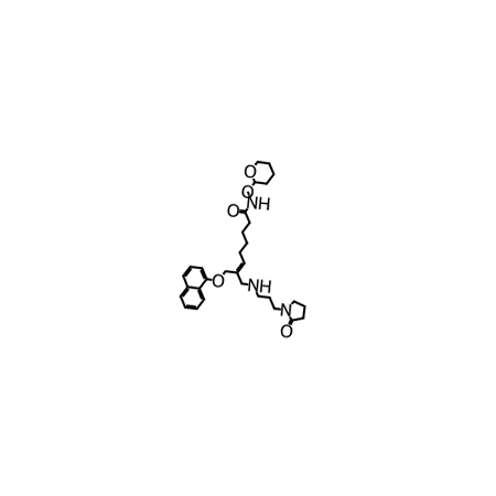 O=C(CCCC/C=C(/CNCCCN1CCCC1=O)COc1cccc2ccccc12)NOC1CCCCO1